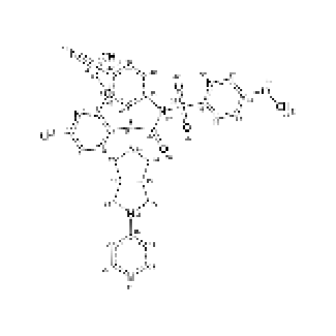 CCOc1nc(Cl)ccc1C1(N2CC3CN(c4ccncc4)CC3C2)C(=O)N(S(=O)(=O)c2ccc(OC)cn2)c2ccc(C#N)cc21